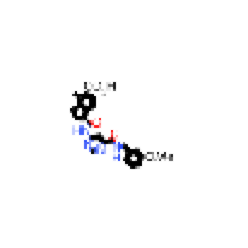 COc1cccc(CNC(=O)c2cc(NC(=O)[C@H]3CCc4c3ccc(C(=O)O)c4C)ncn2)c1